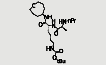 CCCN[C@@H](C)C(=O)N[C@H](CCCCNC(=O)OC(C)(C)C)C(=O)NC1CCCCCCC1